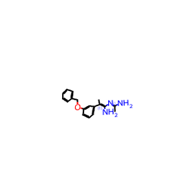 C/C(N)=N\C(N)=C(/C)c1cccc(OCc2ccccc2)c1